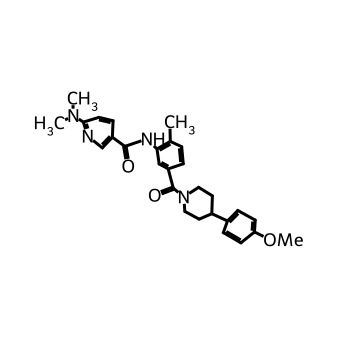 COc1ccc(C2CCN(C(=O)c3ccc(C)c(NC(=O)c4ccc(N(C)C)nc4)c3)CC2)cc1